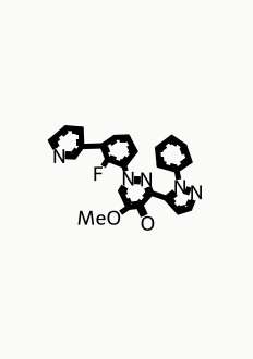 COc1cn(-c2cccc(-c3cccnc3)c2F)nc(-c2ccnn2-c2ccccc2)c1=O